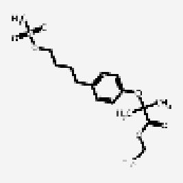 CCOC(=O)C(C)(C)Oc1ccc(CCCCOS(C)(=O)=O)cc1